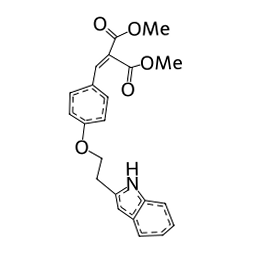 COC(=O)C(=Cc1ccc(OCCc2cc3ccccc3[nH]2)cc1)C(=O)OC